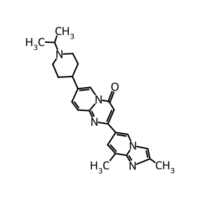 Cc1cn2cc(-c3cc(=O)n4cc(C5CCN(C(C)C)CC5)ccc4n3)cc(C)c2n1